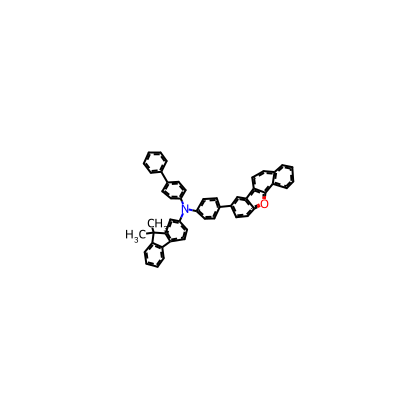 CC1(C)c2ccccc2-c2ccc(N(c3ccc(-c4ccccc4)cc3)c3ccc(-c4ccc5oc6c7ccccc7ccc6c5c4)cc3)cc21